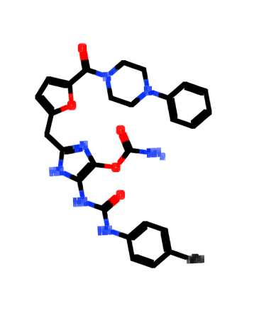 CCCCc1ccc(NC(=O)Nc2[nH]c(Cc3ccc(C(=O)N4CCN(c5ccccc5)CC4)o3)nc2OC(N)=O)cc1